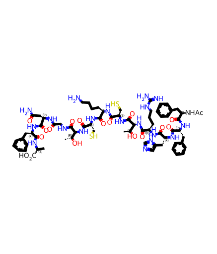 CC(=O)N[C@H](Cc1ccccc1)C(=O)N[C@H](Cc1ccccc1)C(=O)N[C@H](Cc1cnc[nH]1)C(=O)N[C@H](CCCNC(=N)N)C(=O)N[C@@H](C(=O)N[C@H](CS)C(=O)N[C@H](CCCCN)C(=O)N[C@H](CS)C(=O)NC(C(=O)NCC(=O)N[C@H](CC(N)=O)C(=O)N[C@H](Cc1ccccc1)C(=O)N[C@@H](C)C(=O)O)[C@@H](C)O)[C@H](C)O